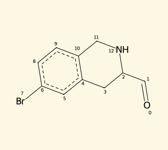 O=CC1Cc2cc(Br)ccc2CN1